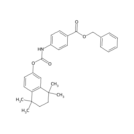 CC1(C)CCC(C)(C)c2cc(OC(=O)Nc3ccc(C(=O)OCc4ccccc4)cc3)ccc21